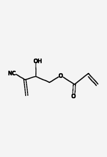 C=CC(=O)OCC(O)C(=C)C#N